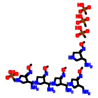 CON=C1CNCC1CN.CON=C1CNCC1CN.CON=C1CNCC1CN.CON=C1CNCC1CN.CON=C1CNCC1CN.CS(=O)(=O)O.CS(=O)(=O)O.CS(=O)(=O)O.CS(=O)(=O)O